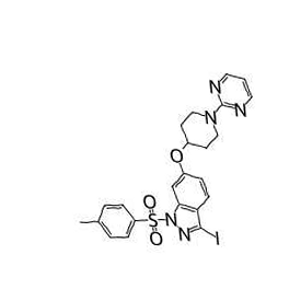 Cc1ccc(S(=O)(=O)n2nc(I)c3ccc(OC4CCN(c5ncccn5)CC4)cc32)cc1